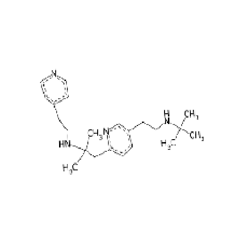 CC(C)(C)NCCc1ccc(CC(C)(C)NCCc2ccncc2)nc1